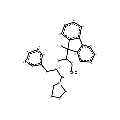 O=COC(C[C@@H](Cc1cncnc1)CN1CCCC1)C1(O)c2ccccc2-c2ccccc21